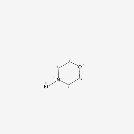 [CH]CN1CCOCC1